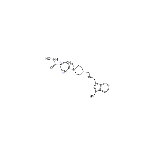 C=C(/N=C\C(=C/C)C(=O)NO)N1CCC(CNCc2cn(C(C)C)c3ccccc23)CC1